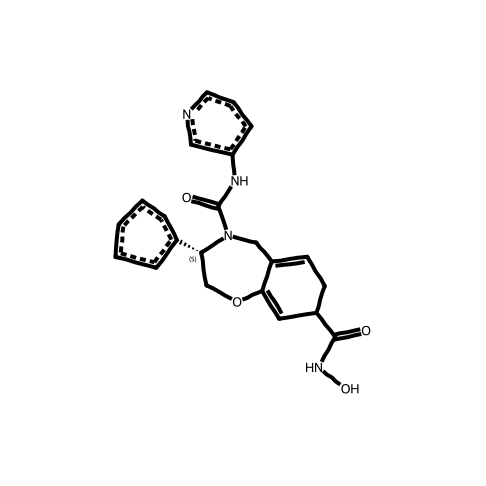 O=C(NO)C1C=C2OC[C@H](c3ccccc3)N(C(=O)Nc3cccnc3)CC2=CC1